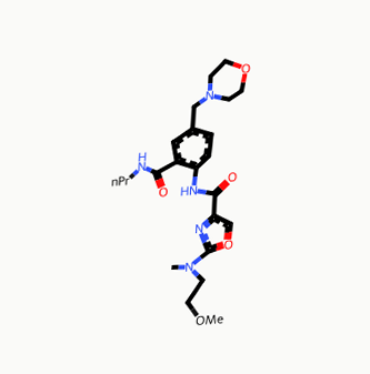 CCCNC(=O)c1cc(CN2CCOCC2)ccc1NC(=O)c1coc(N(C)CCOC)n1